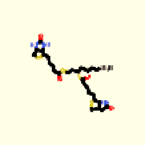 O=C(O)CCCCC(CCSC(=O)CCCCC1SCC2NC(=O)NC21)SC(=O)CCCCC1SCC2CC(=O)NC21